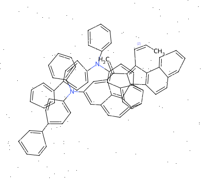 C=C1C2=C(/C=C\C)c3c(ccc4ccccc34)C23c2c(ccc4cc(N(c5ccccc5)c5ccc(-c6ccccc6)cc5)ccc24)-c2ccc4cc(N(c5ccccc5)c5ccc(-c6ccccc6)cc5)cc1c4c23